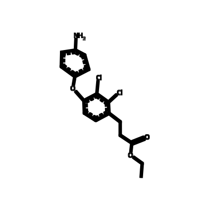 CCOC(=O)CCc1ccc(Oc2ccc(N)cc2)c(Cl)c1Cl